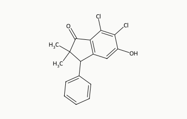 CC1(C)C(=O)c2c(cc(O)c(Cl)c2Cl)C1c1ccccc1